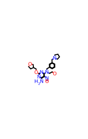 Nc1nc(OCC2CCOC2)nc(N(CC=O)Cc2cccc(CN3CCCC3)c2)c1N=O